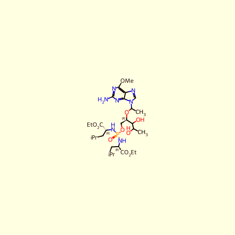 CCOC(=O)[C@@H](CC(C)C)NP(=O)(N[C@H](CC(C)C)C(=O)OCC)OC[C@@H](OC(C)n1cnc2c(OC)nc(N)nc21)C(O)C(C)O